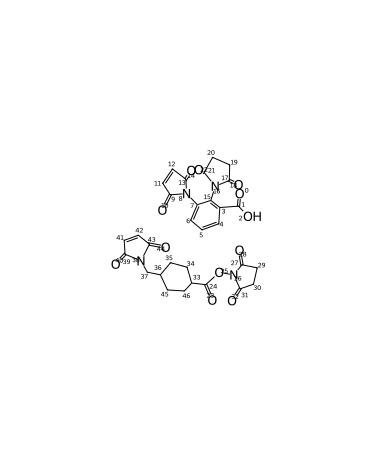 O=C(O)c1cccc(N2C(=O)C=CC2=O)c1N1C(=O)CCC1=O.O=C(ON1C(=O)CCC1=O)C1CCC(CN2C(=O)C=CC2=O)CC1